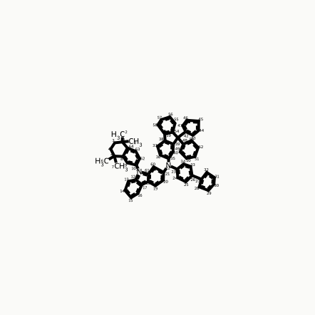 CC1(C)CCC(C)(C)c2cc(-n3c4ccccc4c4ccc(N(c5ccc(-c6ccccc6)cc5)c5ccc6c(c5)C(c5ccccc5)(c5ccccc5)c5ccccc5-6)cc43)ccc21